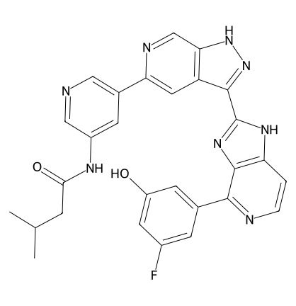 CC(C)CC(=O)Nc1cncc(-c2cc3c(-c4nc5c(-c6cc(O)cc(F)c6)nccc5[nH]4)n[nH]c3cn2)c1